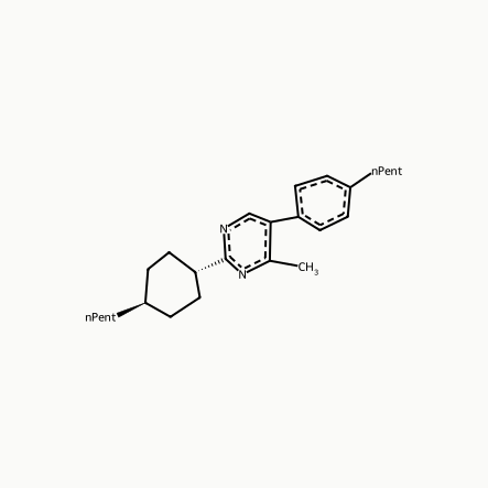 CCCCCc1ccc(-c2cnc([C@H]3CC[C@H](CCCCC)CC3)nc2C)cc1